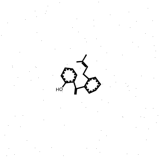 C=C(c1ccccc1O)c1ccccc1CC=C(C)C